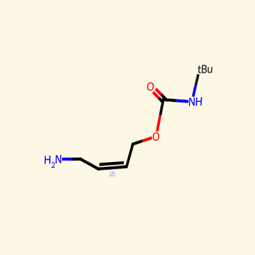 CC(C)(C)NC(=O)OC/C=C\CN